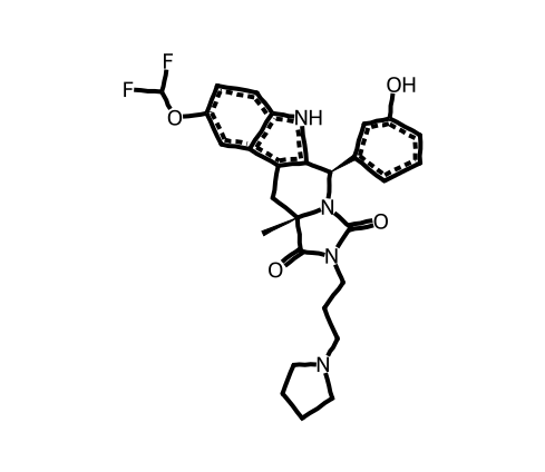 C[C@@]12Cc3c([nH]c4ccc(OC(F)F)cc34)[C@@H](c3cccc(O)c3)N1C(=O)N(CCCN1CCCC1)C2=O